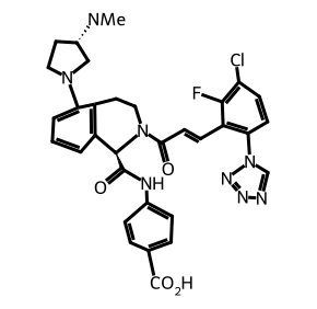 CN[C@H]1CCN(c2cccc3c2CCN(C(=O)/C=C/c2c(-n4cnnn4)ccc(Cl)c2F)[C@H]3C(=O)Nc2ccc(C(=O)O)cc2)C1